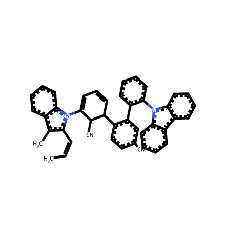 C/C=C\c1c(C)c2ccccc2n1C1=CC=CC(c2ccc(C#N)cc2-c2ccccc2-n2c3ccccc3c3ccccc32)C1C#N